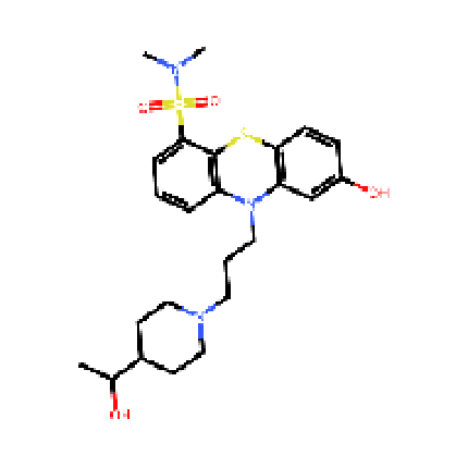 CC(O)C1CCN(CCCN2c3cc(O)ccc3Sc3c2cccc3S(=O)(=O)N(C)C)CC1